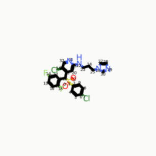 O=S(=O)(c1ccc(Cl)cc1)C(c1cc(F)ccc1F)c1cc(NCCCn2ccnc2)ncc1Cl